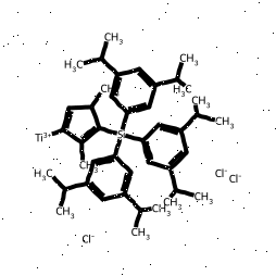 CC1=C([Si](c2cc(C(C)C)cc(C(C)C)c2)(c2cc(C(C)C)cc(C(C)C)c2)c2cc(C(C)C)cc(C(C)C)c2)C(C)C=[C]1[Ti+3].[Cl-].[Cl-].[Cl-]